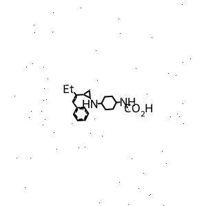 CCC(=Cc1ccccc1)C1C[C@@H]1NC1CCC(NC(=O)O)CC1